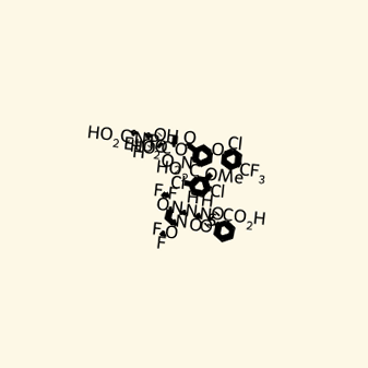 CCOC(=O)C(C)OC(=O)c1cc(Oc2ccc(C(F)(F)F)cc2Cl)ccc1[N+](=O)[O-].COc1c(Cl)ccc(Cl)c1C(=O)O.O=C(Nc1nc(OC(F)F)cc(OC(F)F)n1)NS(=O)(=O)c1ccccc1C(=O)O.O=C(O)CNCP(=O)(O)O